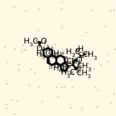 CC(=O)OC1CC[C@@]2(C)C(=CC[C@H]3[C@@H]4CC[C@H](C(CO[SiH](C)C)C(C)(C)C)[C@@]4(C)CC[C@@H]32)C1